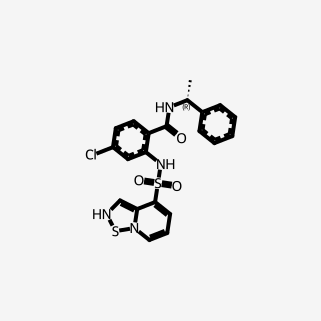 C[C@@H](NC(=O)c1ccc(Cl)cc1NS(=O)(=O)C1=CC=CN2SNC=C12)c1ccccc1